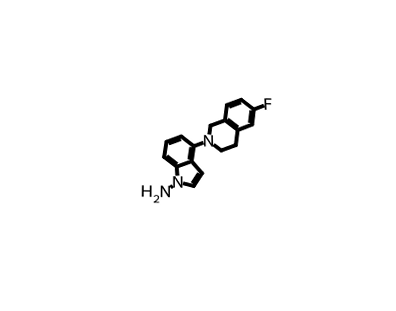 Nn1ccc2c(N3CCc4cc(F)ccc4C3)cccc21